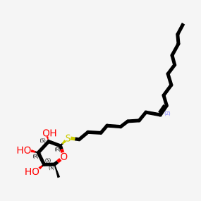 CCCCCCCC/C=C\CCCCCCCCS[C@H]1O[C@@H](C)[C@@H](O)[C@@H](O)[C@@H]1O